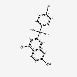 CC(=O)Oc1ccc2c(Cl)nc(C(F)(F)c3ccc(F)cc3)nc2c1